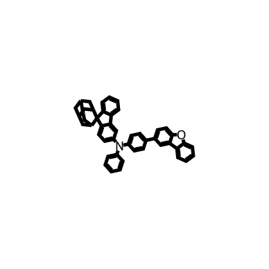 c1ccc(N(c2ccc(-c3ccc4oc5ccccc5c4c3)cc2)c2ccc3c(c2)-c2ccccc2C32C3CC4CC(C3)CC2C4)cc1